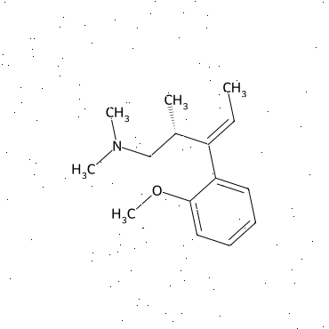 CC=C(c1ccccc1OC)[C@@H](C)CN(C)C